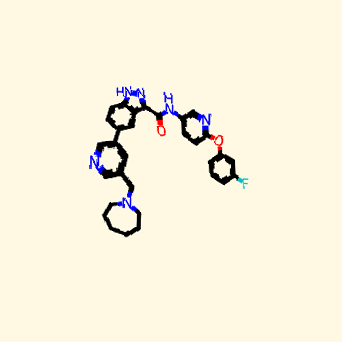 O=C(Nc1ccc(Oc2cccc(F)c2)nc1)c1n[nH]c2ccc(-c3cncc(CN4CCCCCC4)c3)cc12